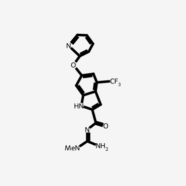 CNC(N)=NC(=O)c1cc2c(C(F)(F)F)cc(Oc3ccccn3)cc2[nH]1